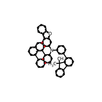 CC1(C)c2ccccc2-c2cccc(-c3cccc(N(c4ccc5c(c4)oc4ccccc45)c4ccccc4-c4cccc5cccc(-c6ccccc6)c45)c3)c21